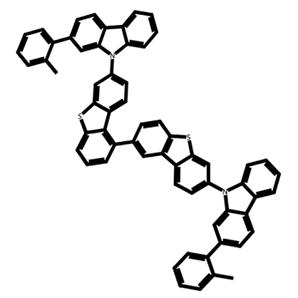 Cc1ccccc1-c1ccc2c3ccccc3n(-c3ccc4c(c3)sc3ccc(-c5cccc6sc7cc(-n8c9ccccc9c9ccc(-c%10ccccc%10C)cc98)ccc7c56)cc34)c2c1